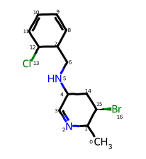 CC1N=CC(NCC2C=CC=CC2Cl)C[C@H]1Br